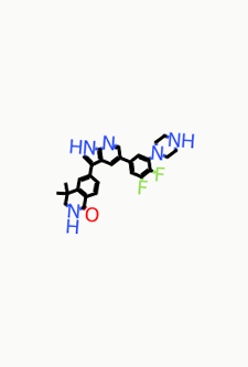 CC1(C)CNC(=O)c2ccc(-c3c[nH]c4ncc(-c5cc(F)c(F)c(N6CCNCC6)c5)cc34)cc21